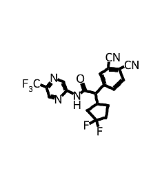 N#Cc1ccc(C(C(=O)Nc2cnc(C(F)(F)F)cn2)C2CCC(F)(F)C2)cc1C#N